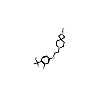 [O-][S+]1CC2(CCN(CCOc3ccc(C(F)(F)F)c(F)c3)CC2)C1